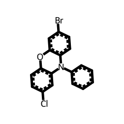 Clc1ccc2c(c1)N(c1ccccc1)c1ccc(Br)cc1O2